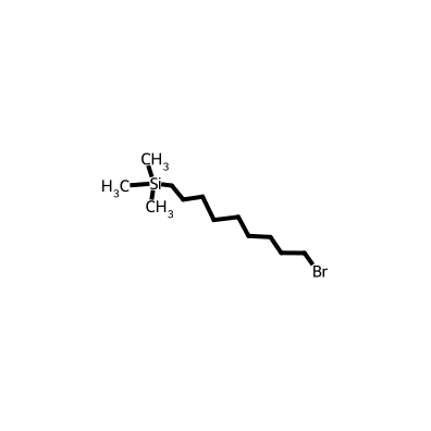 C[Si](C)(C)CCCCCCCCCBr